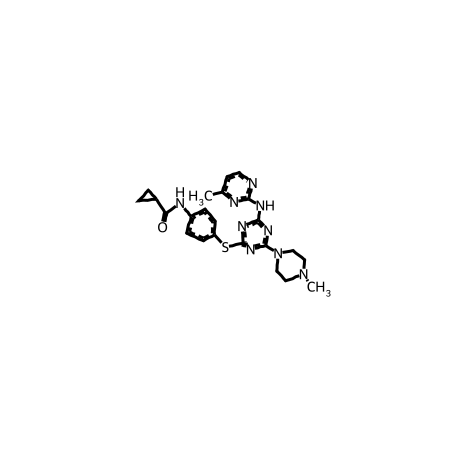 Cc1ccnc(Nc2nc(Sc3ccc(NC(=O)C4CC4)cc3)nc(N3CCN(C)CC3)n2)n1